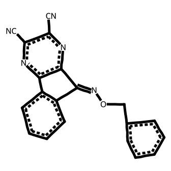 N#Cc1nc2c(nc1C#N)-c1ccccc1C2=NOCc1ccccc1